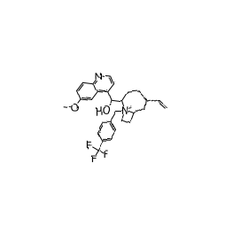 C=CC1CCC(C(O)c2ccnc3ccc(OC)cc23)[N+]2(Cc3ccc(C(F)(F)F)cc3)CCC2C1